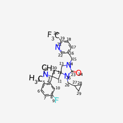 CN(C)C1(c2cccc(F)c2)CC2(CN(Cc3ccc(C(F)(F)F)nc3)C(=O)N2CC2CC2)C1